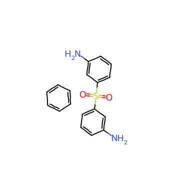 Nc1cccc(S(=O)(=O)c2cccc(N)c2)c1.c1ccccc1